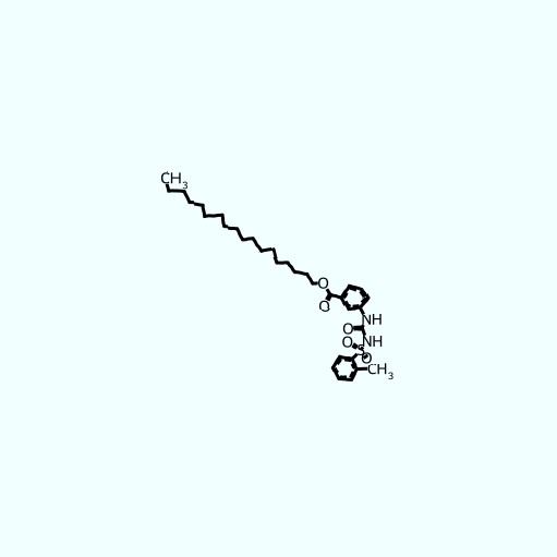 CCCCCCCCCCCCCCCCCCOC(=O)c1cccc(NC(=O)NS(=O)(=O)c2ccccc2C)c1